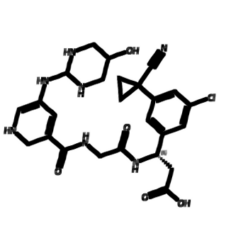 N#CC1(c2cc(Cl)cc([C@H](CC(=O)O)NC(=O)CNC(=O)C3=CC(NC4NCC(O)CN4)=CNC3)c2)CC1